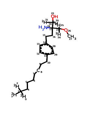 [2H]C([2H])([2H])CCCCCCCc1ccc(CCC(N)(C([2H])([2H])O)C([2H])([2H])OC)cc1